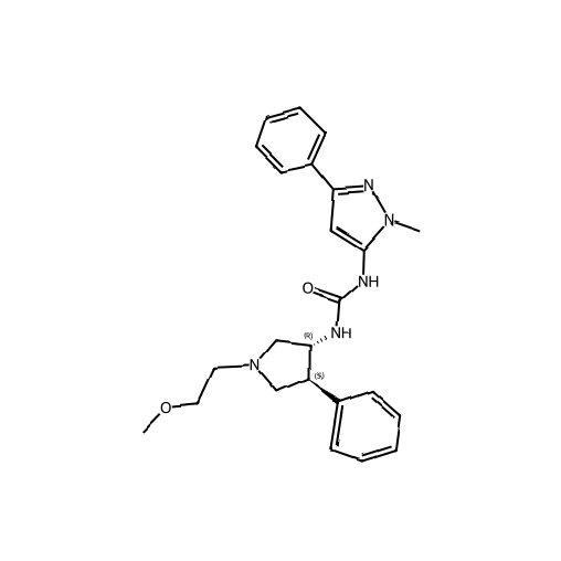 COCCN1C[C@H](NC(=O)Nc2cc(-c3ccccc3)nn2C)[C@@H](c2ccccc2)C1